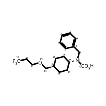 O=C(O)N(Cc1ccccc1)[C@H]1CC[C@H](COCCC(F)(F)F)CC1